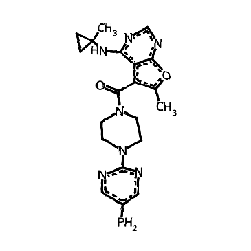 Cc1oc2ncnc(NC3(C)CC3)c2c1C(=O)N1CCN(c2ncc(P)cn2)CC1